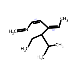 C=N/C=C\C(=C/C)C(CC)C(C)C